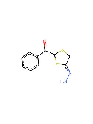 NN=C1CSC(C(=O)c2ccccc2)S1